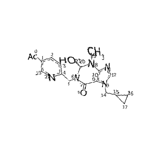 CC(=O)c1ccc(CN2C(=O)c3c(ncn3CC3CC3)N(C)C2O)nc1